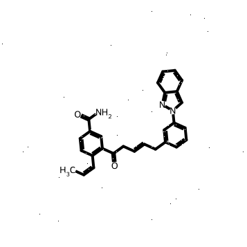 C/C=C\c1ccc(C(N)=O)cc1C(=O)C/C=C/Cc1cccc(-n2cc3ccccc3n2)c1